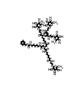 C[C@@H]1O[C@@H](OCCNC(=O)CCCCCNC(=O)CN(CC(=O)NCCCCCNC(=O)OCc2ccccc2)CC(=O)NCCCC[C@@H](C(=O)NCCO[C@@H]2O[C@@H](C)[C@@H](O)[C@@H](O)[C@@H]2O)N(CC(=O)NCCO[C@@H]2O[C@@H](C)[C@@H](O)[C@@H](O)[C@@H]2O)CC(=O)NCCO[C@@H]2O[C@@H](C)[C@@H](O)[C@@H](O)[C@@H]2O)[C@@H](O)[C@H](O)[C@@H]1O